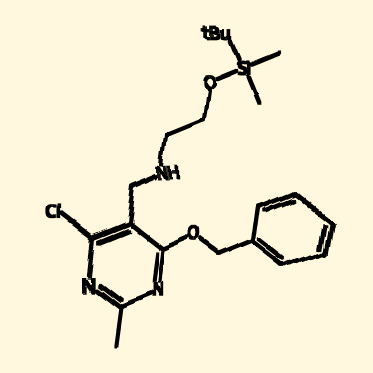 Cc1nc(Cl)c(CNCCO[Si](C)(C)C(C)(C)C)c(OCc2ccccc2)n1